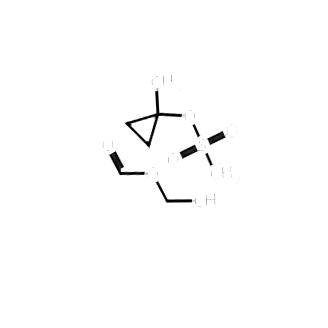 CC1(OS(C)(=O)=O)CC1.CCOC=O